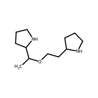 CC(OCCC1CCCN1)C1CCCN1